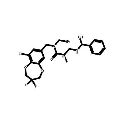 CC(C)CN(Cc1cc(Cl)c2c(c1)OCC(F)(F)CO2)C(=O)[C@H](C)CNC(O)c1ccccc1